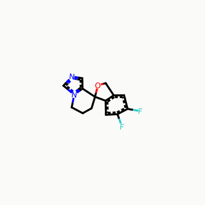 Fc1cc2c(cc1F)C1(CCCn3cncc31)OC2